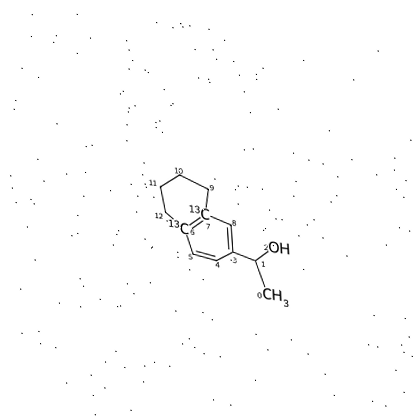 CC(O)c1cc[13c]2[13c](c1)CCCC2